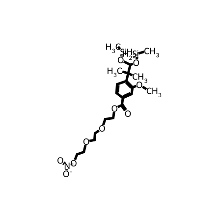 COc1cc(C(=O)OCCOCCOCCO[N+](=O)[O-])ccc1C(C)(C)C(O[SiH2]C)O[SiH2]C